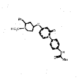 CC(C)C1CC(Oc2ccn(-c3ccc(NC(=O)C(C)(C)C)cc3)c(=O)c2)CCN1C(=O)O